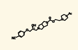 CC(=O)N1CCN(CCOC(=O)N2CC3CN(C[C@H](O)COc4ccc(C#N)cc4)CC3C2)CC1